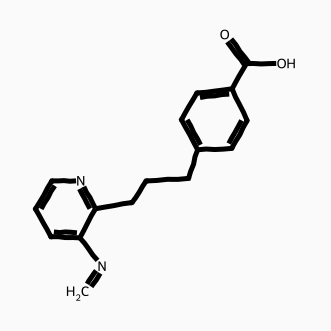 C=Nc1cccnc1CCCc1ccc(C(=O)O)cc1